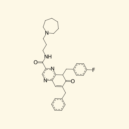 O=C(NCCCN1CCCCCC1)c1cnc2c(n1)C(Cc1ccc(F)cc1)C(=O)C(Cc1ccccc1)=C2